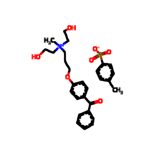 C[N+](CCO)(CCO)CCCOc1ccc(C(=O)c2ccccc2)cc1.Cc1ccc(S(=O)(=O)[O-])cc1